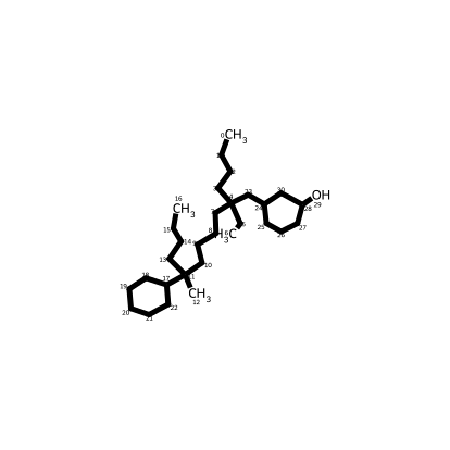 CCCCC(CC)(CCCCC(C)(CCCC)C1CCCCC1)CC1CCCC(O)C1